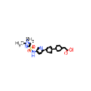 Cc1nc(S(=O)(=O)Nc2ccc(-c3ccc(C4CCC(CC(=O)O)CC4)cc3)nc2)cn1C